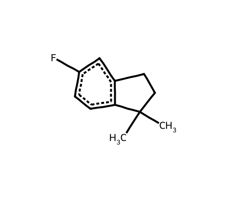 CC1(C)CCc2cc(F)ccc21